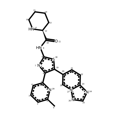 Cc1cccc(-c2nc(NC(=O)[C@@H]3CCCCN3)sc2-c2ccc3ncnn3c2)n1